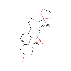 CC1(C2CCC3C4CC=C5CC(O)CCC5(C)C4C(=O)CC32C)OCCO1